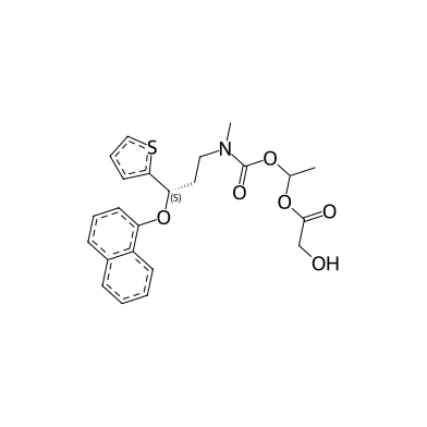 CC(OC(=O)CO)OC(=O)N(C)CC[C@H](Oc1cccc2ccccc12)c1cccs1